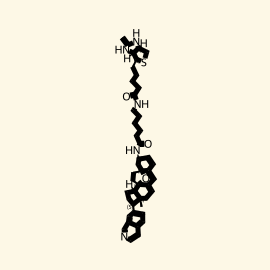 C=C1N[C@H]2[C@H](CS[C@H]2CCCCC(=O)NCCCCCC(=O)N[C@@H]2C=CC3=CC4=CC[C@]5(C)[C@@H](c6ccc7ccncc7c6)CC[C@H]5[C@@]45CC[C@]3(C2)O5)N1